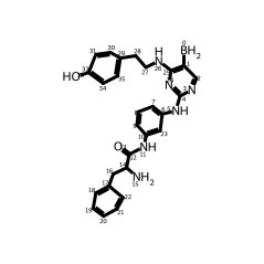 Bc1cnc(Nc2cccc(NC(=O)C(N)Cc3ccccc3)c2)nc1NCCc1ccc(O)cc1